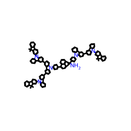 CC1(C)c2ccccc2-c2ccc(-n3c4ccccc4c4cc(-c5ccc6c(c5)c5ccccc5n6-c5ccc(C6(N)C7=C6c6ccc(-c8ccc(-n9c%10ccc(-c%11ccc%12c(c%11)c%11ccccc%11n%12-c%11ccc%12c(c%11)C(C)(C)c%11ccccc%11-%12)cc%10c%10cc(-c%11ccc%12c(c%11)c%11ccccc%11n%12-c%11ccc%12c(c%11)C(C)(C)c%11ccccc%11-%12)ccc%109)cc8)c8cccc7c68)cc5)ccc43)cc21